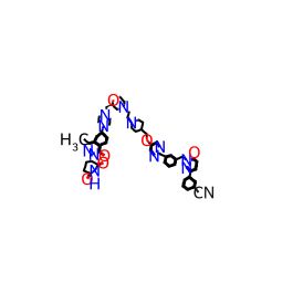 Cc1nn(C2CCC(=O)NC2=O)c(=O)c2ccc(N3CCN(C[C@@H]4CN(CCN5CCC(COc6cnc(-c7cccc(Cn8nc(-c9cccc(C#N)c9)ccc8=O)c7)nc6)CC5)CCO4)CC3)cc12